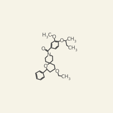 CCOC1CC(c2ccccc2)OC2(CCN(C(=O)c3ccc(O[C@@H](C)CC)c(OC)c3)CC2)C1